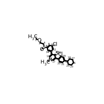 CCOCC[S+]([O-])c1cc(Cl)cc(-c2cn(C)cc(-c3ccc(C4CCCCC4)cc3Cl)c2=S)c1